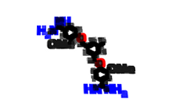 COc1cc(C(=N)N)ccc1OCc1cc(C)cc(COc2ccc(C(=N)N)cc2OC)c1